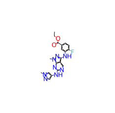 CCOC(=O)c1ccc(F)c(Nc2nn(C)c3nc(Nc4cnn(C)c4)ncc23)c1